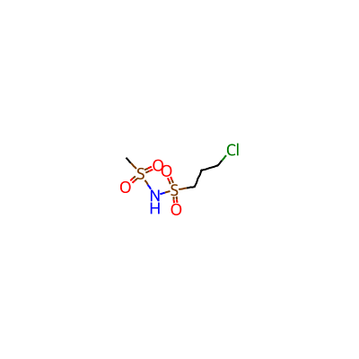 CS(=O)(=O)NS(=O)(=O)CCCCl